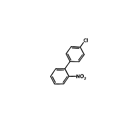 O=[N+]([O-])c1ccccc1-c1ccc(Cl)cc1